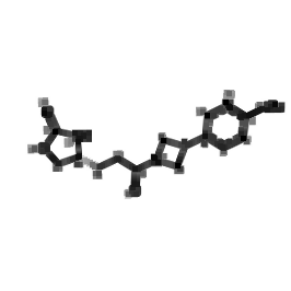 CC(C)(C)c1ccc(C2CN(C(=O)CC[C@@H]3COC(=O)N3)C2)cn1